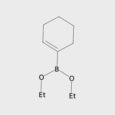 CCOB(OCC)C1=CCCCC1